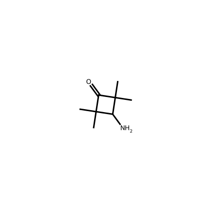 CC1(C)C(=O)C(C)(C)C1N